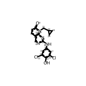 O=c1ccc2cnc(Nc3cc(Cl)c(O)c(Cl)c3)nc2n1CC1CC1